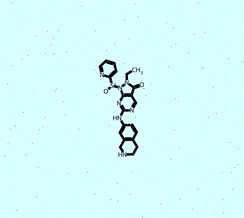 CCn1c(=O)c2cnc(Nc3ccc4c(c3)CNCC4)nc2n1[S+]([O-])c1ccccn1